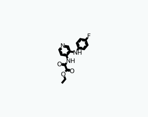 CCOC(=O)C(=O)Nc1ccncc1Nc1ccc(F)cc1